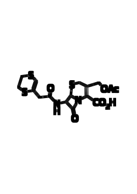 CC(=O)OCC1=C(C(=O)O)N2C(=O)C(NC(=O)CC3=CSCCS3)C2SC1